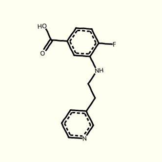 O=C(O)c1ccc(F)c(NCCc2cccnc2)c1